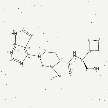 O=C(N[C@H](CO)C1CCC1)[C@H]1CCN(c2ncnc3[nH]ccc23)CC12CC2